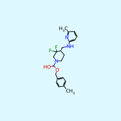 Cc1ccc(COC(O)N2CC[C@H](CNc3cccc(C)n3)C(F)(F)C2)cc1